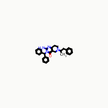 CC(Cc1ccccc1)N1CCc2nc(N)n(C(c3ccccc3)c3ccccc3)c(=O)c2C1